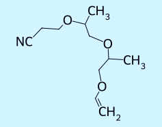 C=COCC(C)OCC(C)OCCC#N